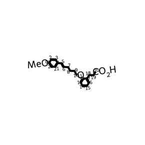 COc1ccc(C=CCCCCOc2ccccc2CCC(=O)O)cc1